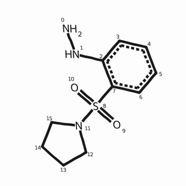 NNc1ccccc1S(=O)(=O)N1CCCC1